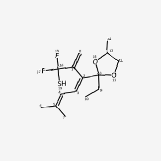 C=C(/C(=C\C=C(C)C)C1(CC)OCC(C)O1)C(F)(F)S